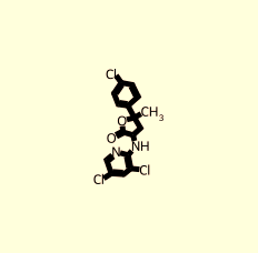 CC1(c2ccc(Cl)cc2)CC(Nc2ncc(Cl)cc2Cl)C(=O)O1